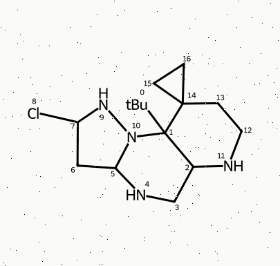 CC(C)(C)C12C(CNC3CC(Cl)NN31)NCCC21CC1